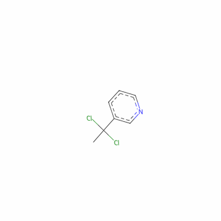 CC(Cl)(Cl)c1cccnc1